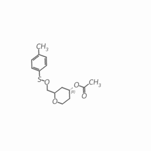 CC(=O)O[C@@H]1CCOC(COSc2ccc(C)cc2)C1